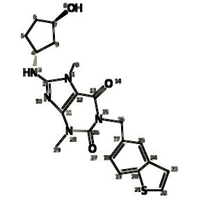 Cn1c(N[C@@H]2CC[C@@H](O)C2)nc2c1c(=O)n(Cc1ccc3sccc3c1)c(=O)n2C